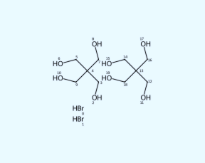 Br.Br.OCC(CO)(CO)CO.OCC(CO)(CO)CO